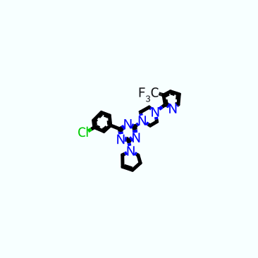 FC(F)(F)c1cccnc1N1CCN(c2nc(-c3cccc(Cl)c3)nc(N3CC=CCC3)n2)CC1